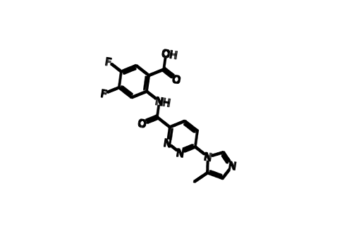 Cc1cncn1-c1ccc(C(=O)Nc2cc(F)c(F)cc2C(=O)O)nn1